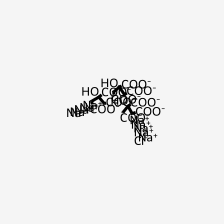 O=C([O-])CC(O)(CC(=O)[O-])C(=O)[O-].O=C([O-])CC(O)(CC(=O)[O-])C(=O)[O-].O=C([O-])CC(O)(CC(=O)[O-])C(=O)[O-].[Cl-].[Na+].[Na+].[Na+].[Na+].[Na+].[Na+].[Na+].[Na+].[Na+].[Na+]